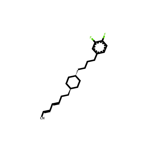 N#CC=CC=CCC[C@H]1CC[C@H](CCCCc2ccc(F)c(F)c2)CC1